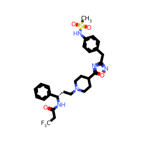 CS(=O)(=O)Nc1ccc(Cc2noc(C3CCN(CC[C@H](NC(=O)CC(F)(F)F)c4ccccc4)CC3)n2)cc1